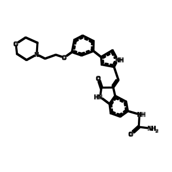 NC(=O)Nc1ccc2c(c1)/C(=C/c1cc(-c3cccc(OCCN4CCOCC4)c3)c[nH]1)C(=O)N2